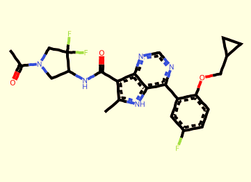 CC(=O)N1CC(NC(=O)c2c(C)[nH]c3c(-c4cc(F)ccc4OCC4CC4)ncnc23)C(F)(F)C1